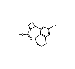 O=C(O)N1CCC1c1cc(Br)cc2c1COCC2